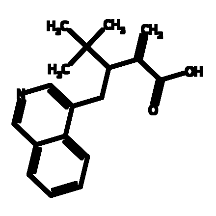 C=C(C(=O)O)C(Cc1cncc2ccccc12)C(C)(C)C